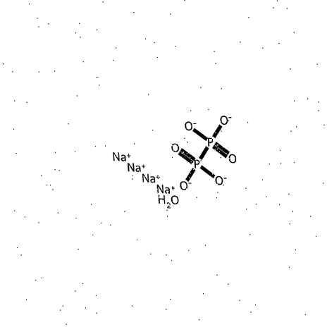 O.O=P([O-])([O-])P(=O)([O-])[O-].[Na+].[Na+].[Na+].[Na+]